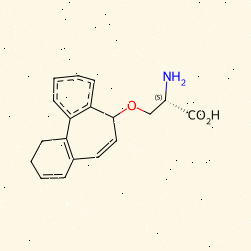 N[C@@H](COC1C=CC2=C(CCC=C2)c2ccccc21)C(=O)O